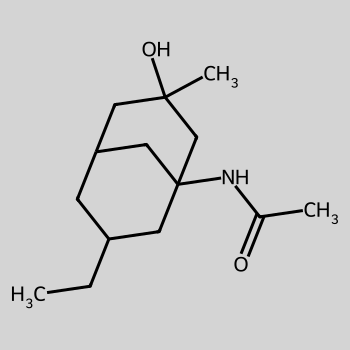 CCC1CC2CC(C)(O)CC(NC(C)=O)(C1)C2